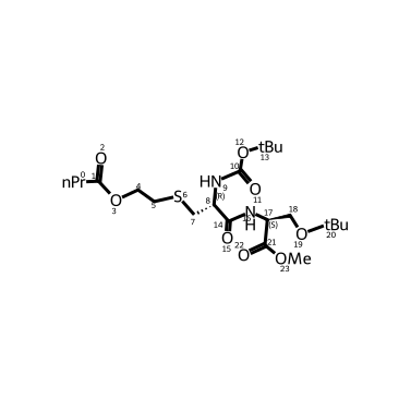 CCCC(=O)OCCSC[C@H](NC(=O)OC(C)(C)C)C(=O)N[C@@H](COC(C)(C)C)C(=O)OC